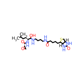 CC(C)CC[C@H](NC(=O)[C@@H]1CO1)C(O)NCCCCNC(=O)CCCCC1SC[C@@H]2NC(=O)N[C@H]12